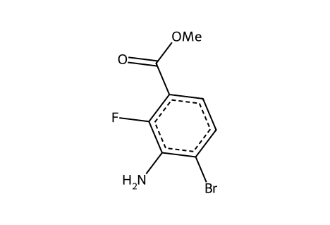 COC(=O)c1ccc(Br)c(N)c1F